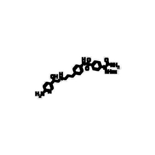 CCCCCCN(C(N)=O)c1ccc(S(=O)(=O)Nc2ccc(CCCNCC(O)c3ccc(N)nc3)cc2)cc1